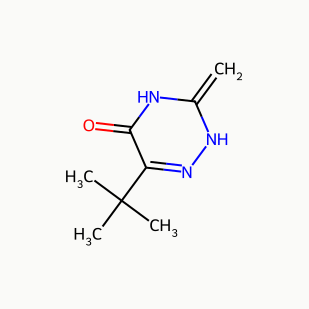 C=C1NN=C(C(C)(C)C)C(=O)N1